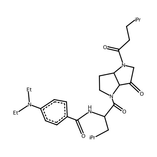 CCN(CC)c1ccc(C(=O)NC(CC(C)C)C(=O)N2CCC3C2C(=O)CN3C(=O)CCC(C)C)cc1